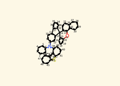 Cc1ccccc1N(c1ccc2c(c1)C1(c3ccccc3Oc3c1ccc1ccccc31)c1ccccc1-2)c1cccc2sc3ccccc3c12